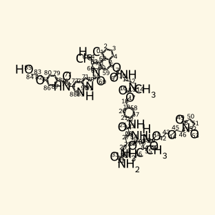 Cc1cccc2c(OC(=O)NCCN(C)C(=O)OCc3ccc(NC(=O)[C@H](CCCNC(N)=O)NC(=O)[C@@H](NC(=O)OCCOCCN4C(=O)C=CC4=O)C(C)C)cc3)cc3c(c12)[C@H](CCl)CN3C(=O)c1cc2cc(NC(=O)c3ccc(OCCO)cc3)cnc2[nH]1